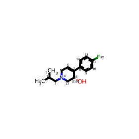 C[C](C)CN1CC=C(c2ccc(F)cc2)[C@H](O)C1